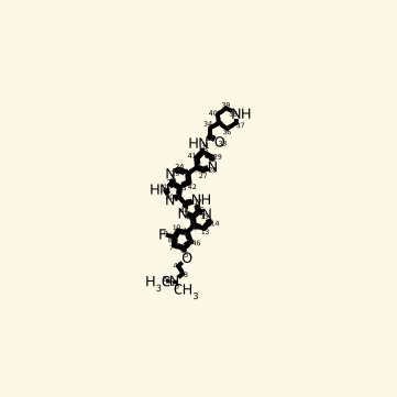 CN(C)CCOc1cc(F)cc(-c2ccnc3[nH]c(-c4n[nH]c5ncc(-c6cncc(NC(=O)CC7CCNCC7)c6)cc45)nc23)c1